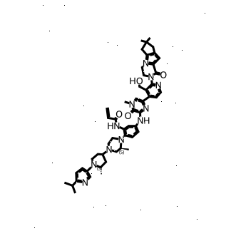 C=CC(=O)Nc1cc(Nc2nc(-c3ccnc(N4CCn5c(cc6c5CC(C)(C)C6)C4=O)c3CO)cn(C)c2=O)ccc1N1CCN(C2CCN(c3ccc(C(C)C)nc3)[C@@H](C)C2)C[C@@H]1C